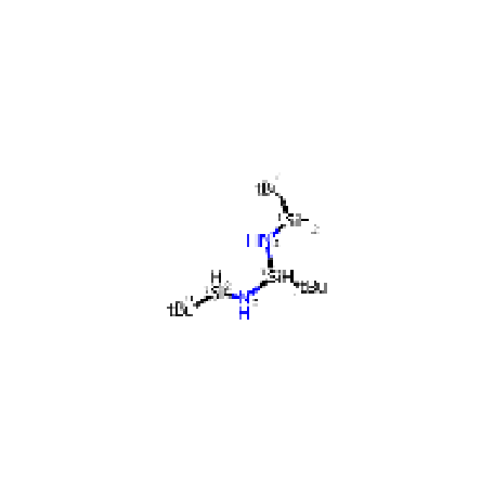 CC(C)(C)[SiH2]N[SiH](N[SiH2]C(C)(C)C)C(C)(C)C